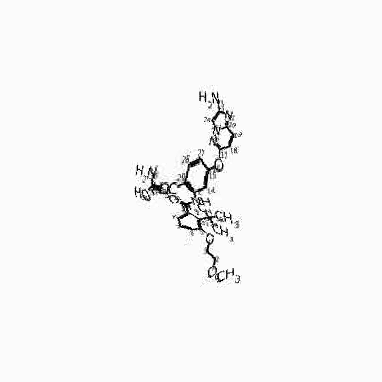 COCCOc1cccc(C(=O)Nc2cc(Oc3ccc4nc(N)cn4n3)ccc2C)c1C(C)(C)C.NC(=O)O